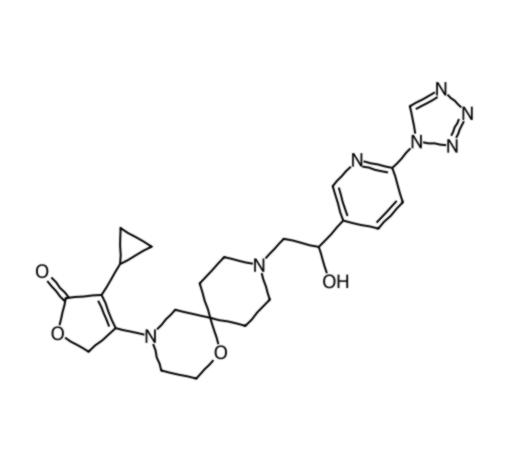 O=C1OCC(N2CCOC3(CCN(CC(O)c4ccc(-n5cnnn5)nc4)CC3)C2)=C1C1CC1